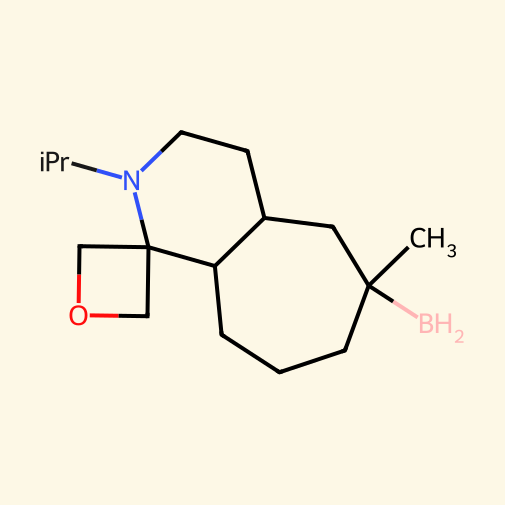 BC1(C)CCCC2C(CCN(C(C)C)C23COC3)C1